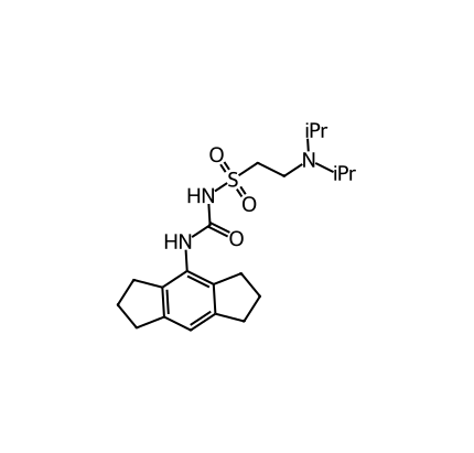 CC(C)N(CCS(=O)(=O)NC(=O)Nc1c2c(cc3c1CCC3)CCC2)C(C)C